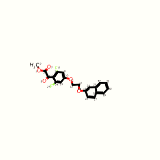 COC(=O)C(=O)c1c(F)cc(OCCOc2ccc3ccccc3c2)cc1F